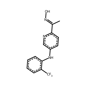 CC(=NO)c1ccc(Nc2ccccc2C(F)(F)F)cn1